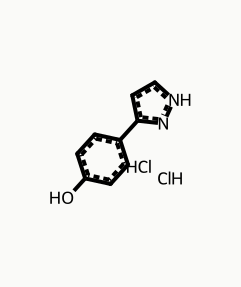 Cl.Cl.Oc1ccc(-c2cc[nH]n2)cc1